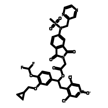 CS(=O)(=O)N(Cc1cnccn1)c1ccc2c(c1)C(=O)N(CC(=O)OC(Cc1c(Cl)c[n+]([O-])cc1Cl)c1ccc(OC(F)F)c(OCC3CC3)c1)C2=O